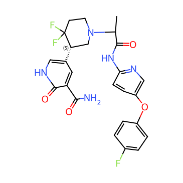 CC(C(=O)Nc1ccc(Oc2ccc(F)cc2)cn1)N1CCC(F)(F)[C@@H](c2c[nH]c(=O)c(C(N)=O)c2)C1